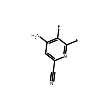 N#Cc1cc(N)c(F)c(F)n1